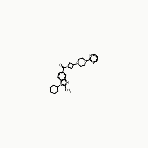 Cc1nc2cc(C(=O)N3CC(N4CCN(c5ncccn5)CC4)C3)ccc2n1C1CCCCC1